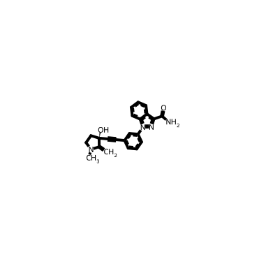 C=C1N(C)CC[C@@]1(O)C#Cc1cccc(-n2nc(C(N)=O)c3ccccc32)c1